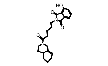 O=C(CCCCN1C(=O)c2cccc(O)c2C1=O)N1CCC2CCCC=C2C1